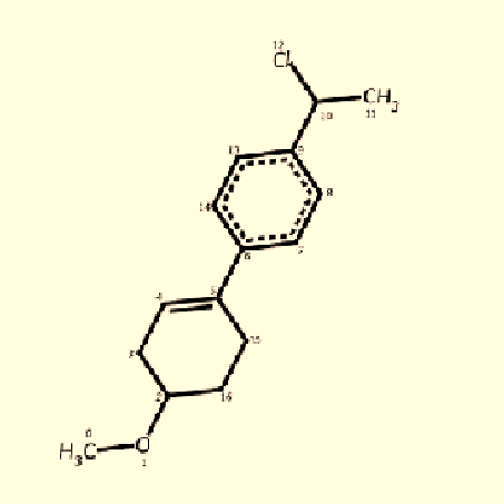 COC1CC=C(c2ccc(C(C)Cl)cc2)CC1